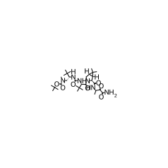 CC(NC(=O)[C@@H]1[C@@H]2[C@H](CN1C(=O)[C@@H](NC(=O)N[C@H](CN(C)C(=O)OC(C)(C)C)C(C)(C)C)C(C)(C)C)C2(C)C)C(=O)C(N)=O